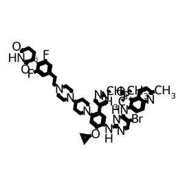 Cc1ccc2c(P(C)(C)=O)c(Nc3nc(Nc4cc(-c5cnn(C)c5)c(N5CCC(N6CCN(CCc7cc(F)c([C@H]8CCC(=O)NC8=O)c(F)c7)CC6)CC5)cc4OC4CC4)ncc3Br)ccc2n1